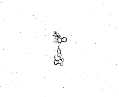 CN(CC(=O)N[C@@H](CCN1CC2CN(C(=O)c3c(F)cccc3Cl)CC2C1)c1ccccc1)S(C)(=O)=O